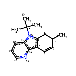 CC1C=Cc2c(n(C(C)(C)C)c3cccnc23)C1